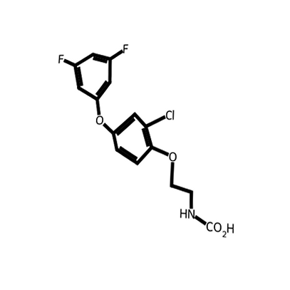 O=C(O)NCCOc1ccc(Oc2cc(F)cc(F)c2)cc1Cl